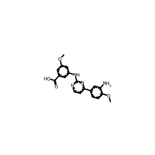 COc1cc(Nc2nccc(-c3ccc(OC)c(N)c3)n2)cc(C(=O)O)c1